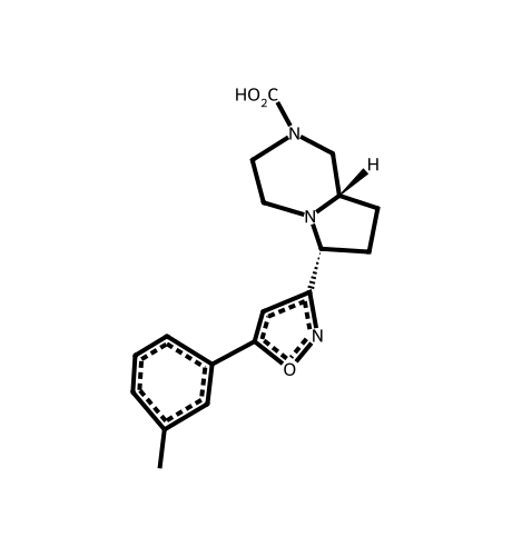 Cc1cccc(-c2cc([C@H]3CC[C@H]4CN(C(=O)O)CCN43)no2)c1